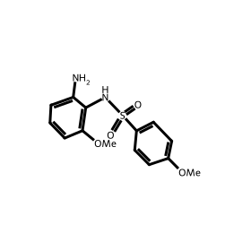 COc1ccc(S(=O)(=O)Nc2c(N)cccc2OC)cc1